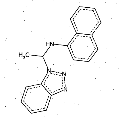 CC(Nc1cccc2ccccc12)n1nnc2ccccc21